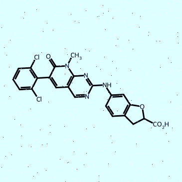 Cn1c(=O)c(-c2c(Cl)cccc2Cl)cc2cnc(Nc3ccc4c(c3)OC(C(=O)O)C4)nc21